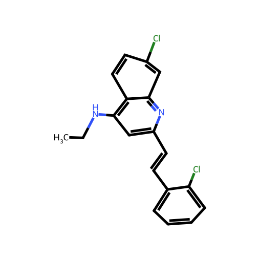 CCNc1cc(/C=C/c2ccccc2Cl)nc2cc(Cl)ccc12